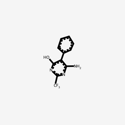 Nc1nc(C(F)(F)F)nc(O)c1-c1ccccc1